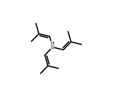 CC(C)=C[SiH](C=C(C)C)C=C(C)C